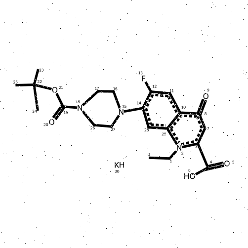 CCn1c(C(=O)O)cc(=O)c2cc(F)c(N3CCN(C(=O)OC(C)(C)C)CC3)cc21.[KH]